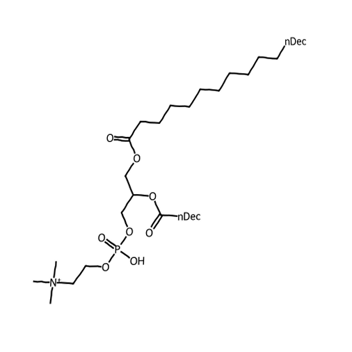 CCCCCCCCCCCCCCCCCCCCC(=O)OCC(COP(=O)(O)OCC[N+](C)(C)C)OC(=O)CCCCCCCCCC